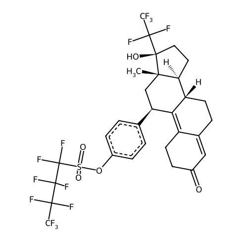 C[C@]12C[C@H](c3ccc(OS(=O)(=O)C(F)(F)C(F)(F)C(F)(F)C(F)(F)F)cc3)C3=C4CCC(=O)C=C4CC[C@H]3[C@@H]1CC[C@@]2(O)C(F)(F)C(F)(F)F